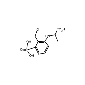 CC(Nc1cccc(P(=O)(O)O)c1CCl)C(=O)O